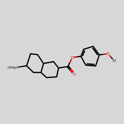 CCCCCCCC1CCC2CC(C(=O)Oc3ccc(OCC)cc3)CCC2C1